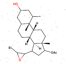 CCC1OC1C1CC(OC(C)=O)[C@@]2(C)CC[C@@H]3[C@@H](CCC4CC(O)CC(C)[C@@]43C)[C@H]12